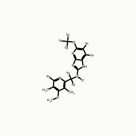 [2H]c1nc(C([2H])([2H])[S+]([O-])c2nc3nc(OC([2H])([2H])[2H])c([2H])c([2H])c3[nH]2)c(C)c(OC)c1C